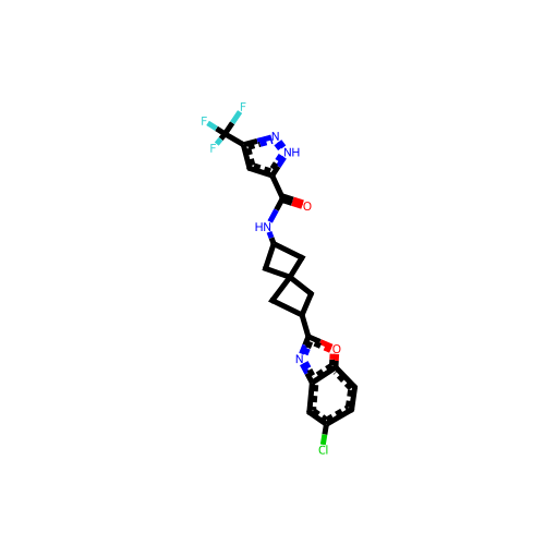 O=C(NC1CC2(C1)CC(c1nc3cc(Cl)ccc3o1)C2)c1cc(C(F)(F)F)n[nH]1